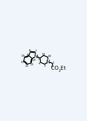 CCOC(=O)CN1CCC(n2ccc3ccccc32)CC1